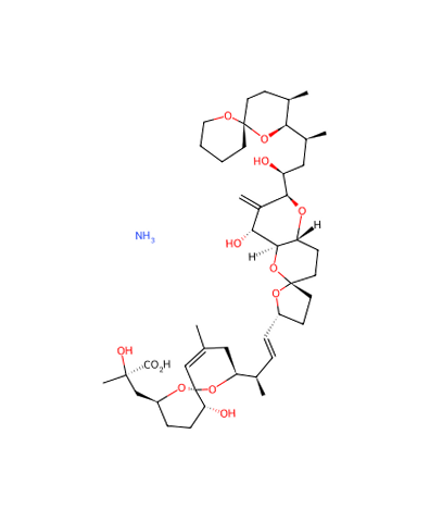 C=C1[C@@H](O)[C@@H]2O[C@]3(CC[C@H](/C=C/[C@@H](C)[C@@H]4CC(C)=C[C@@]5(O[C@H](C[C@@](C)(O)C(=O)O)CC[C@H]5O)O4)O3)CC[C@H]2O[C@@H]1[C@@H](O)C[C@H](C)[C@H]1O[C@@]2(CCCCO2)CC[C@H]1C.N